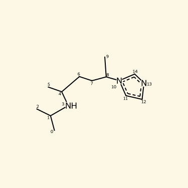 CC(C)NC(C)CCC(C)n1ccnc1